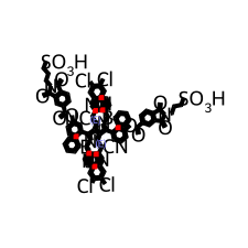 N#C/C(c1cnc2cc(Cl)c(Cl)cc2n1)=c1\c2c(-c3cccc(OC(=O)c4ccc5c(c4)C(=O)N(CCCS(=O)(=O)O)C5=O)c3)n(B(c3ccccc3)c3ccccc3)/c(=C(/C#N)c3cnc4cc(Cl)c(Cl)cc4n3)c2c(-c2cccc(OC(=O)c3ccc4c(c3)C(=O)N(CCCS(=O)(=O)O)C4=O)c2)n1B(c1ccccc1)c1ccccc1